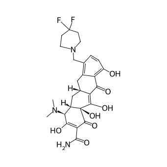 CN(C)[C@@H]1C(O)=C(C(N)=O)C(=O)[C@@]2(O)C(O)=C3C(=O)c4c(O)ccc(CN5CCC(F)(F)CC5)c4C[C@H]3C[C@@H]12